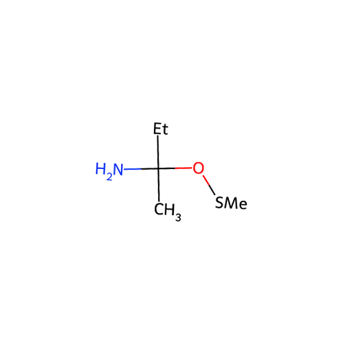 CCC(C)(N)OSC